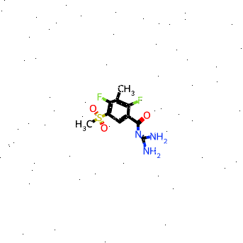 Cc1c(F)c(C(=O)N=C(N)N)cc(S(C)(=O)=O)c1F